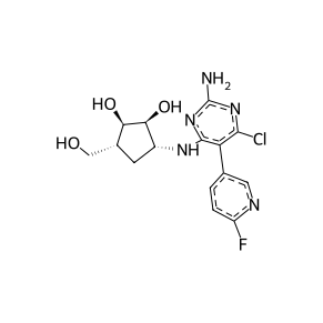 Nc1nc(Cl)c(-c2ccc(F)nc2)c(N[C@@H]2C[C@H](CO)[C@@H](O)[C@H]2O)n1